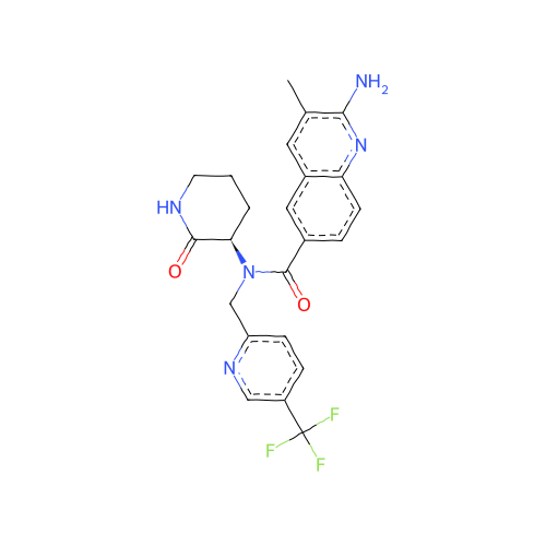 Cc1cc2cc(C(=O)N(Cc3ccc(C(F)(F)F)cn3)[C@@H]3CCCNC3=O)ccc2nc1N